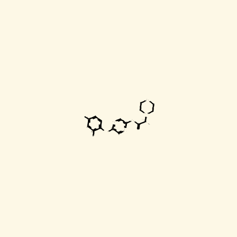 C[C@@H](C(=O)Nc1cnc(Oc2ccc(F)cc2F)cn1)N1CCNCC1